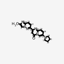 Cc1cn2nc(-c3cc(=O)n4cc(N5CCCC5)ccc4n3)ccc2n1